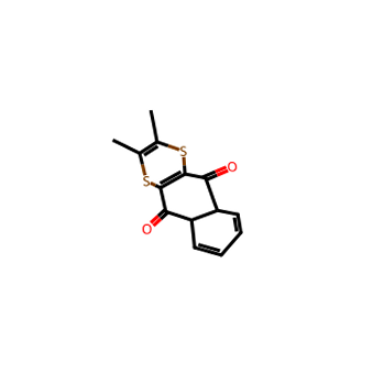 CC1=C(C)SC2=C(S1)C(=O)C1C=CC=CC1C2=O